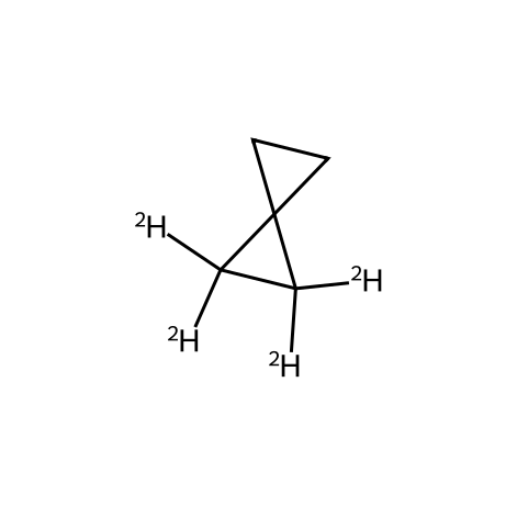 [2H]C1([2H])C([2H])([2H])C12CC2